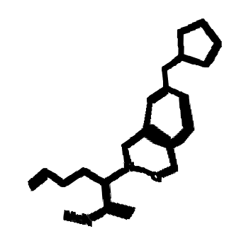 C=CCCC(C(=C)NC)N1Cc2cc(CC3CCCC3)ccc2CO1